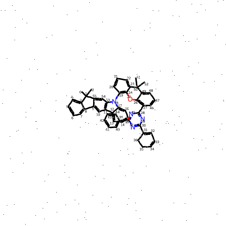 CC1(C)c2ccccc2-c2cc3c4ccccc4n(-c4cccc5c4Oc4c(-c6nc(C7=CC=CCC7)nc(-c7ccccc7)n6)cccc4C5(C)C)c3cc21